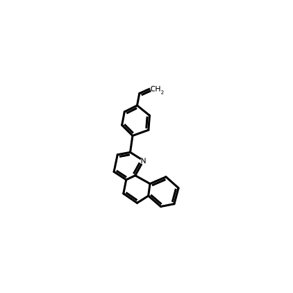 C=Cc1ccc(-c2ccc3ccc4ccccc4c3n2)cc1